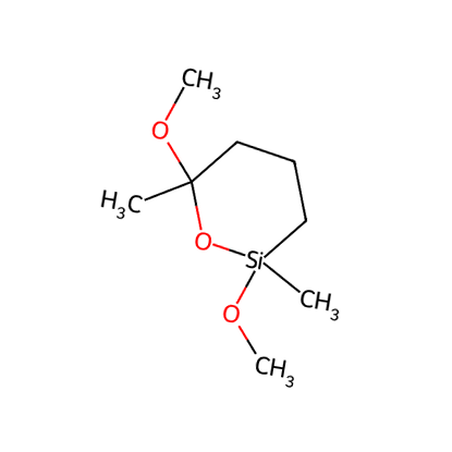 COC1(C)CCC[Si](C)(OC)O1